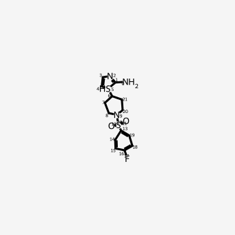 NC1=NC=C[SH]1C1CCN(S(=O)(=O)c2ccc(F)cc2)CC1